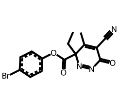 CCC1(C(=O)Oc2ccc(Br)cc2)N=NC(=O)C(C#N)=C1C